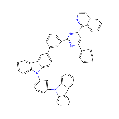 c1ccc(-c2cc(-c3nccc4ccccc34)nc(-c3cccc(-c4ccc5c(c4)c4ccccc4n5-c4cccc(-n5c6ccccc6c6ccccc65)c4)c3)n2)cc1